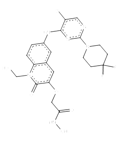 CCn1c(=O)c(OCC(=O)NC)cc2cc(Nc3nc(N4CCC(F)(F)CC4)ncc3Cl)ccc21